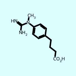 CN(C(=N)N)c1ccc(CCCC(=O)O)cc1